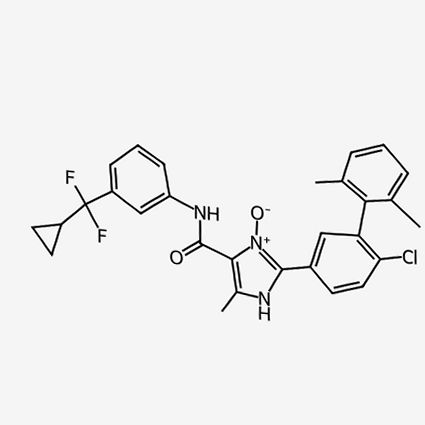 Cc1cccc(C)c1-c1cc(-c2[nH]c(C)c(C(=O)Nc3cccc(C(F)(F)C4CC4)c3)[n+]2[O-])ccc1Cl